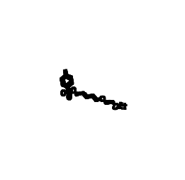 CCOCCOCCCCCOS(=O)(=O)c1ccc(C)cc1